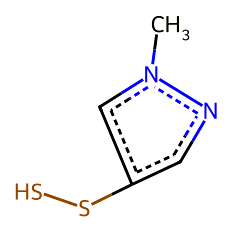 Cn1cc(SS)cn1